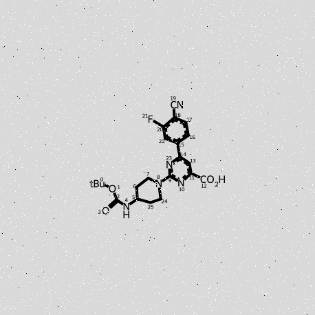 CC(C)(C)OC(=O)NC1CCN(c2nc(C(=O)O)cc(-c3ccc(C#N)c(F)c3)n2)CC1